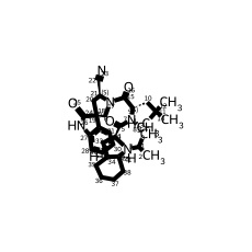 CC(C)N1[C@H](C(=O)N(C)[C@@H](CC(C)(C)C)C(=O)N2C[C@]3(C[C@H]2C#N)C(=O)Nc2ccccc23)C[C@@H]2CCCC[C@@H]21